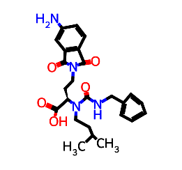 CC(C)CCN(C(=O)NCc1ccccc1)[C@H](CCN1C(=O)c2ccc(N)cc2C1=O)C(=O)O